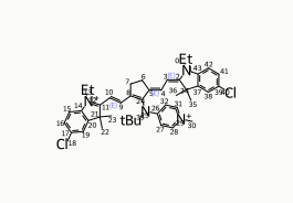 CCN1/C(=C/C=C2\CCC(/C=C/C3=[N+](CC)c4ccc(Cl)cc4C3(C)C)=C2N(c2cc[n+](C)cc2)C(C)(C)C)C(C)(C)c2cc(Cl)ccc21